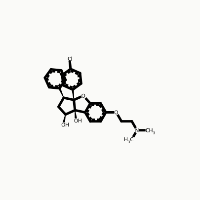 CN(C)CCOc1ccc2c(c1)O[C@@]1(c3ccc(Cl)cc3)[C@H](c3ccccc3)C[C@H](O)[C@@]21O